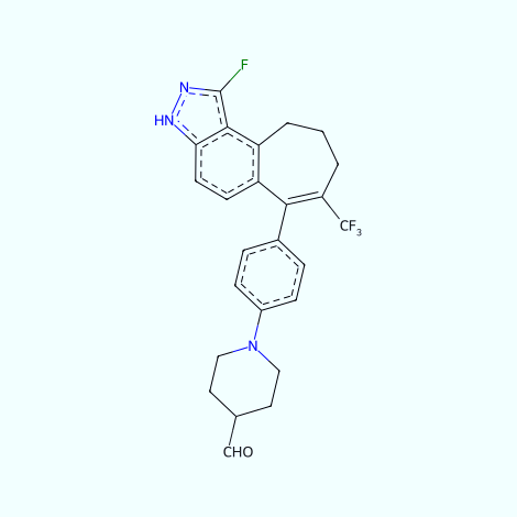 O=CC1CCN(c2ccc(C3=C(C(F)(F)F)CCCc4c3ccc3[nH]nc(F)c43)cc2)CC1